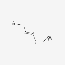 C/C=C\[C]=C\CBr